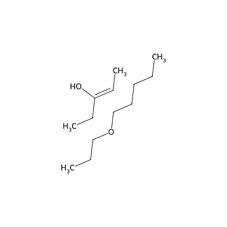 CC=C(O)CC.CCCCCOCCC